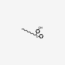 CCCCCCCCCC(Oc1ccccc1)c1ccc(O)cc1